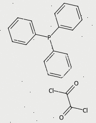 O=C(Cl)C(=O)Cl.c1ccc(P(c2ccccc2)c2ccccc2)cc1